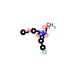 COC(=O)CNC(=O)C1(NC(=O)Cc2ccc(OCc3ccccc3)cc2)Cc2ccc(-c3ccc(Cl)cc3)cc2C1